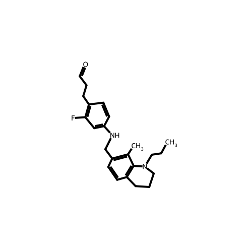 CCCN1CCCc2ccc(CNc3ccc(CCC=O)c(F)c3)c(C)c21